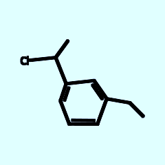 CCc1cccc(C(C)Cl)c1